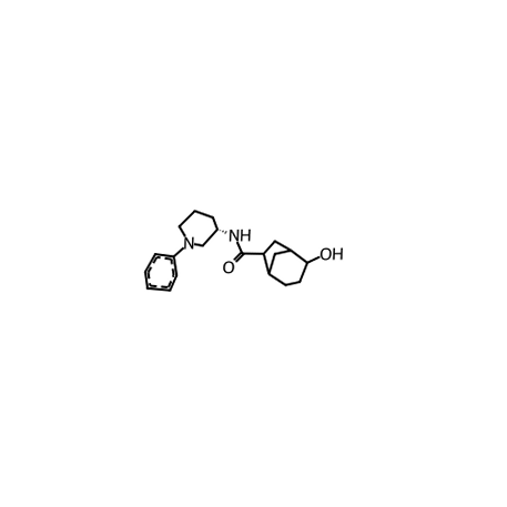 O=C(N[C@H]1CCCN(c2ccccc2)C1)C1CC2CC1CCC2O